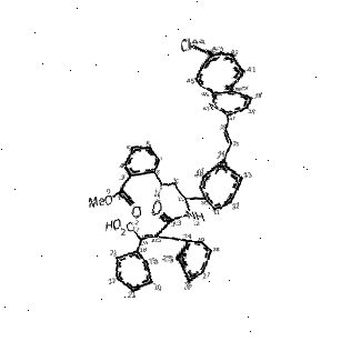 COC(=O)c1ccccc1CCC(NC(=O)C(=C(C(=O)O)c1ccccc1)c1ccccc1)c1cccc(/C=C/c2ccc3ccc(Cl)cc3n2)c1